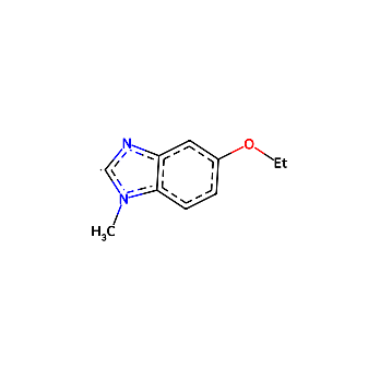 CCOc1ccc2c(c1)n[c]n2C